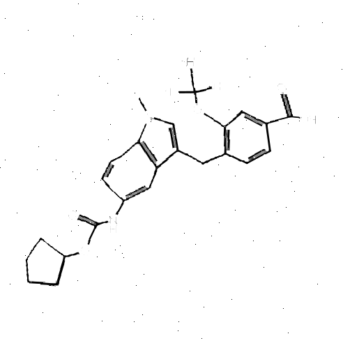 [2H]C([2H])([2H])Oc1cc(C(=O)O)ccc1Cc1cn(C)c2ccc(NC(=O)OC3CCCC3)cc12